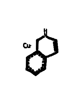 C1=Cc2ccccc2CN1.[Cu]